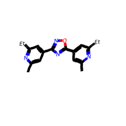 CCc1cc(-c2noc(-c3cc(C)nc(CC)c3)n2)cc(C)n1